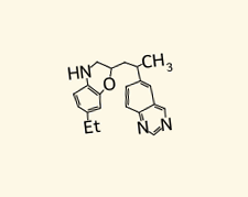 CCc1ccc2c(c1)OC(CC(C)c1ccc3ncncc3c1)CN2